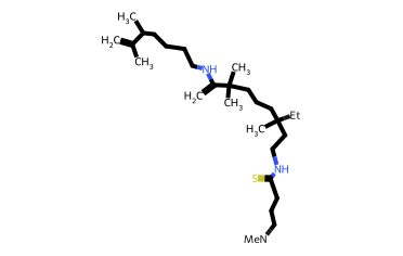 C=C(C)C(C)CCCCNC(=C)C(C)(C)CCCC(C)(CC)CCNC(=S)CCCNC